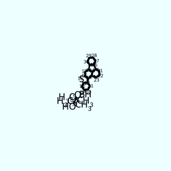 CC(C)(O)C(C)(C)OBc1ccc2c(c1)sc1cc3c4c(cccc4c12)-c1ccccc1-3